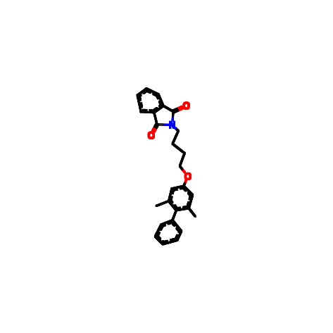 Cc1cc(OCCCCN2C(=O)c3ccccc3C2=O)cc(C)c1-c1ccccc1